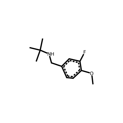 COc1ccc(CNC(C)(C)C)cc1F